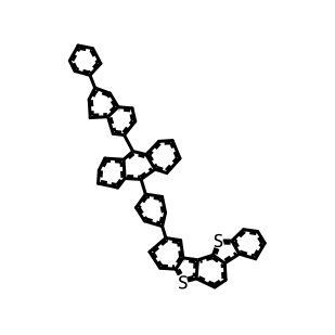 c1ccc(-c2ccc3cc(-c4c5ccccc5c(-c5ccc(-c6ccc7sc8ccc9c%10ccccc%10sc9c8c7c6)cc5)c5ccccc45)ccc3c2)cc1